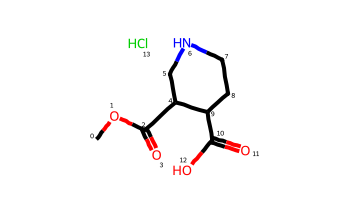 COC(=O)C1CNCCC1C(=O)O.Cl